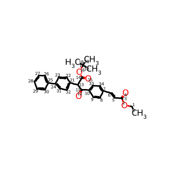 CCOC(=O)/C=C/c1ccc(C(=O)C(C(=O)OC(C)(C)C)c2ccc(-c3ccccc3)cc2)cc1